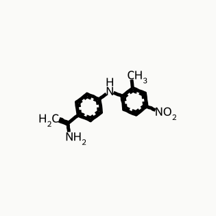 C=C(N)c1ccc(Nc2ccc([N+](=O)[O-])cc2C)cc1